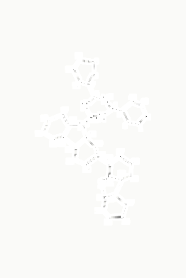 c1ccc(-c2nc(-c3ccccc3)nc(-n3c4ccccc4c4ccc(-c5cccc6c5sc5ccccc56)cc43)n2)cc1